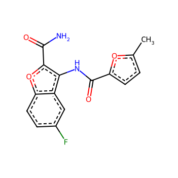 Cc1ccc(C(=O)Nc2c(C(N)=O)oc3ccc(F)cc23)o1